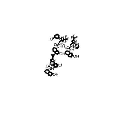 Cc1c(C(F)(F)F)nn(-c2cccc(Cl)c2)c1CNC(=O)NC1CCCc2ccc(O)cc21.O=C(NCc1cc(C(F)(F)F)nn1-c1ncccn1)NC1CCCc2ccc(O)cc21.O=C(NCc1cc(C2CC2)nn1-c1cccc(Cl)c1)NC1CCCc2ccc(O)cc21